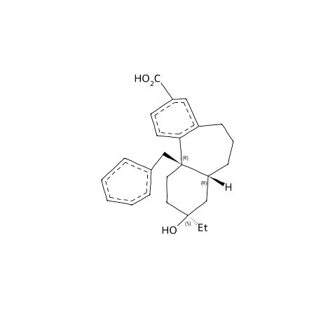 CC[C@]1(O)CC[C@]2(Cc3ccccc3)c3ccc(C(=O)O)cc3CCC[C@@H]2C1